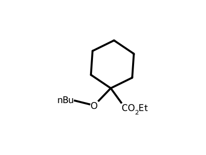 CCCCOC1(C(=O)OCC)CCCCC1